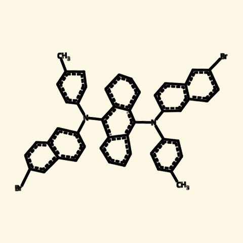 Cc1ccc(N(c2ccc3cc(Br)ccc3c2)c2c3ccccc3c(N(c3ccc(C)cc3)c3ccc4cc(Br)ccc4c3)c3ccccc23)cc1